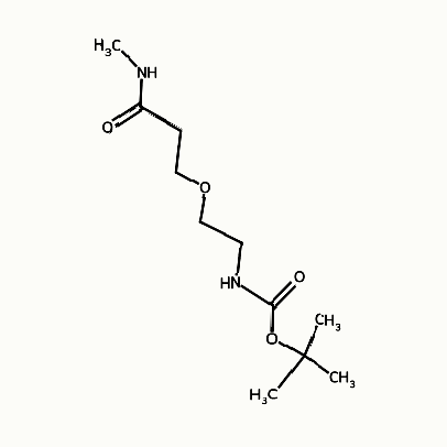 CNC(=O)CCOCCNC(=O)OC(C)(C)C